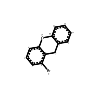 Brc1cccc2c1[CH]c1ccccc1O2